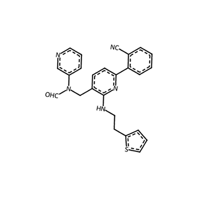 N#Cc1ccccc1-c1ccc(CN(C=O)c2cccnc2)c(NCCc2cccs2)n1